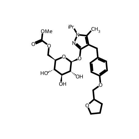 COC(=O)OC[C@H]1O[C@@H](Oc2nn(C(C)C)c(C)c2Cc2ccc(OCC3CCCO3)cc2)[C@H](O)[C@@H](O)[C@@H]1O